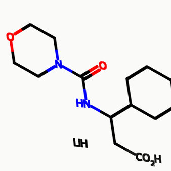 O=C(O)CC(NC(=O)N1CCOCC1)C1CCCCC1.[LiH]